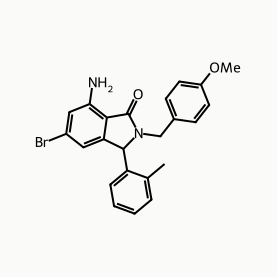 COc1ccc(CN2C(=O)c3c(N)cc(Br)cc3C2c2ccccc2C)cc1